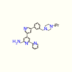 CC(C)N1CCN(Cc2cccc(-c3cncc(-c4cc(CN)nc(-c5ccccn5)c4)c3)c2)CC1